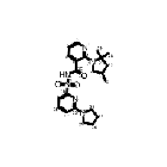 CC1CN(c2ncccc2C(=O)NS(=O)(=O)c2cccc(N3CCCC3)n2)C(C)(C)C1